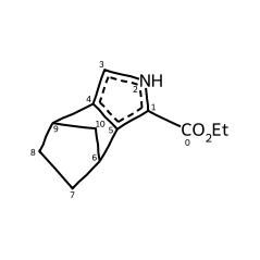 CCOC(=O)c1[nH]cc2c1C1CCC2C1